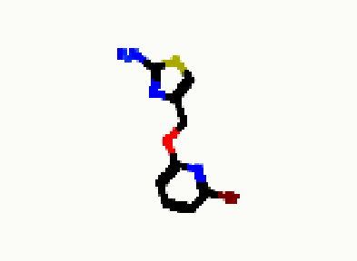 Nc1nc(COc2cccc(Br)n2)cs1